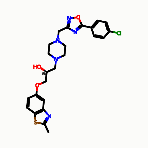 Cc1nc2cc(OC[C@@H](O)CN3CCN(Cc4noc(-c5ccc(Cl)cc5)n4)CC3)ccc2s1